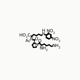 CC(=O)N(C(=O)[C@@H]1CCCN1C(=O)[C@@H](N)CCCCN)[C@@H](CCCCNc1ccc([N+](=O)[O-])cc1[N+](=O)[O-])C(=O)O